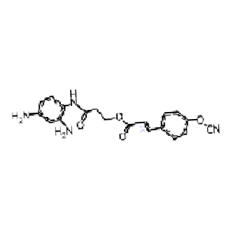 N#COc1ccc(/C=C/C(=O)OCCC(=O)Nc2ccc(N)cc2N)cc1